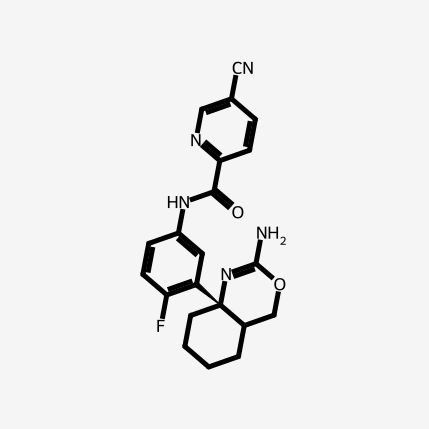 N#Cc1ccc(C(=O)Nc2ccc(F)c([C@]34CCCCC3COC(N)=N4)c2)nc1